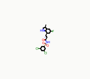 Cc1c[nH]c2c(/C=C/C(=O)NS(=O)(=O)c3cc(Cl)cc(Cl)c3)cc(F)cc12